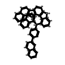 c1ccc2cc(-c3ccc(N(c4cccc5ccccc45)c4cccc5oc6ccc7c8ccc9ccccc9c8sc7c6c45)cc3)ccc2c1